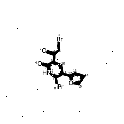 CC(C)c1[nH]c(=O)c(C(=O)CBr)cc1-c1ccco1